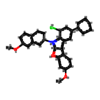 COc1ccc2ccc(-n3c4oc5cc(OC)ccc5c4c4cc(-c5ccccc5)cc(Cl)c43)cc2c1